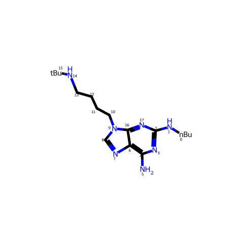 CCCCNc1nc(N)c2ncn(CCCCNC(C)(C)C)c2n1